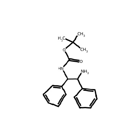 CC(C)(C)OC(=O)NC(c1ccccc1)C(N)c1ccccc1